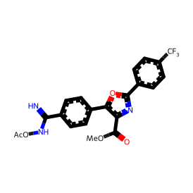 COC(=O)c1nc(-c2ccc(C(F)(F)F)cc2)oc1-c1ccc(C(=N)NOC(C)=O)cc1